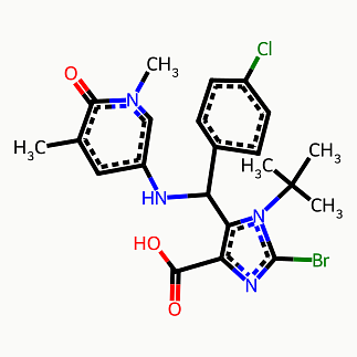 Cc1cc(NC(c2ccc(Cl)cc2)c2c(C(=O)O)nc(Br)n2C(C)(C)C)cn(C)c1=O